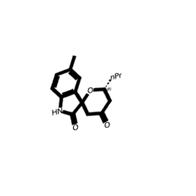 CCC[C@@H]1CC(=O)CC2(O1)C(=O)Nc1ccc(C)cc12